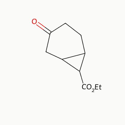 CCOC(=O)C1C2CCC(=O)CC21